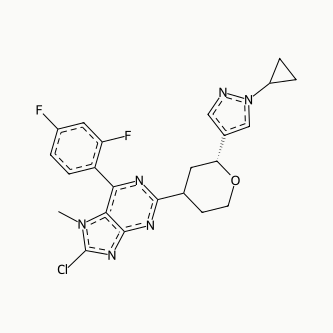 Cn1c(Cl)nc2nc(C3CCO[C@@H](c4cnn(C5CC5)c4)C3)nc(-c3ccc(F)cc3F)c21